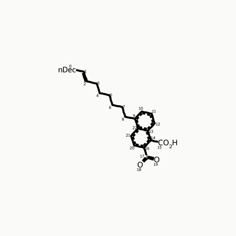 CCCCCCCCCCC=CCCCCCCc1cccc2c(C(=O)O)c(I(=O)=O)ccc12